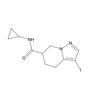 O=C(NC1CC1)C1CCc2c(I)cnn2C1